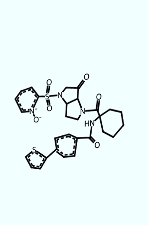 O=C(NC1(C(=O)N2CCC3C2C(=O)CN3S(=O)(=O)c2cccc[n+]2[O-])CCCCC1)c1ccc(-c2cccs2)cc1